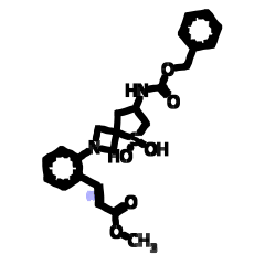 COC(=O)/C=C/c1ccccc1N1CC2(CC(NC(=O)OCc3ccccc3)CS2(O)O)C1